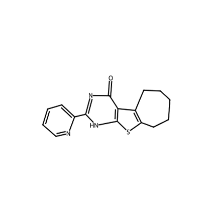 O=c1nc(-c2ccccn2)[nH]c2sc3c(c12)CCCCC3